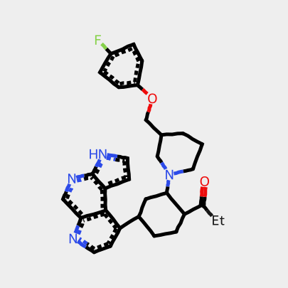 CCC(=O)C1CCC(c2ccnc3cnc4[nH]ccc4c23)CC1N1CCCC(COc2ccc(F)cc2)C1